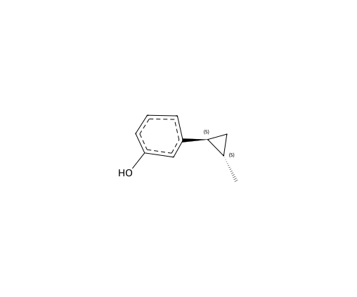 C[C@H]1C[C@@H]1c1cccc(O)c1